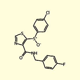 O=C(NCc1ccc(F)cc1)c1ncsc1[S+]([O-])c1ccc(Cl)cc1